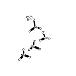 [O]=[Nb](=[O])[O-].[O]=[Nb](=[O])[O-].[O]=[Nb](=[O])[O-].[O]=[Nb](=[O])[O-].[Pb+2].[Sr+2]